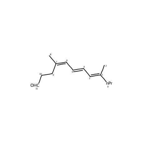 CCCC(C)=CC=CC=C(C)CCC=O